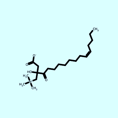 CCCC/C=C\CCCCCCCC(=O)C(O)(CC(=O)[O-])C[N+](C)(C)C